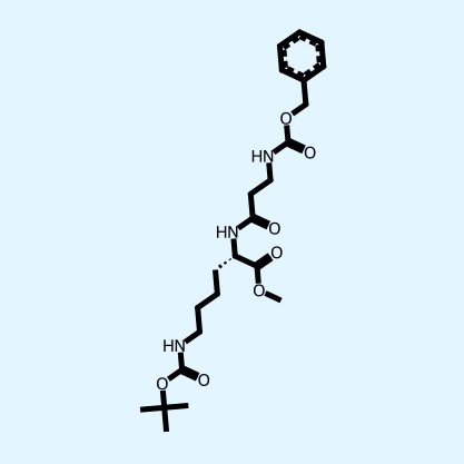 COC(=O)[C@H](CCCCNC(=O)OC(C)(C)C)NC(=O)CCNC(=O)OCc1ccccc1